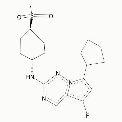 CS(=O)(=O)[C@H]1CC[C@H](Nc2ncc3c(F)cc(C4CCCC4)n3n2)CC1